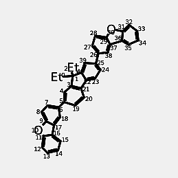 CCC1(CC)c2cc(-c3ccc4oc5ccccc5c4c3)ccc2-c2ccc(-c3ccc4oc5ccccc5c4c3)cc21